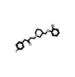 CC(=O)c1ccccc1OCC1CCCN(CCC(=O)Cc2ccc(F)cc2)C1